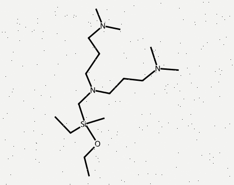 CCO[Si](C)(CC)CN(CCCN(C)C)CCCN(C)C